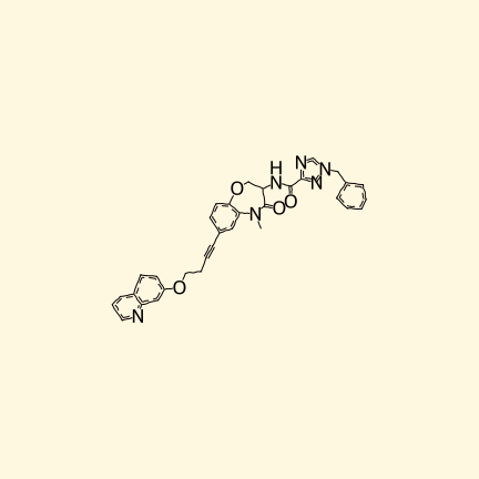 CN1C(=O)C(NC(=O)c2ncn(Cc3ccccc3)n2)COc2ccc(C#CCCOc3ccc4cccnc4c3)cc21